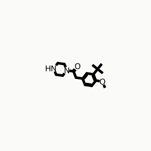 COc1ccc(CC(=O)N2CCNCC2)cc1C(C)(C)C